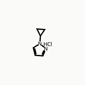 Cl.c1cnn(C2CC2)c1